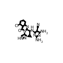 N#Cc1c(N)nc(N)nc1N[C@H](c1nc2cccc(Cl)c2c(=O)n1-c1cn[nH]c1)C1CC1